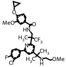 COCCNC(C)(C)c1cc(-c2ccc(F)c(Cl)c2)nc(C(C)(CNC(=O)c2ccc(OC3CC3)c(OC)c2)C(F)(F)F)c1